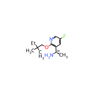 CCC(C)(C)COc1ncc(F)cc1[C@@H](C)N